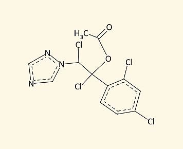 CC(=O)OC(Cl)(c1ccc(Cl)cc1Cl)C(Cl)n1cncn1